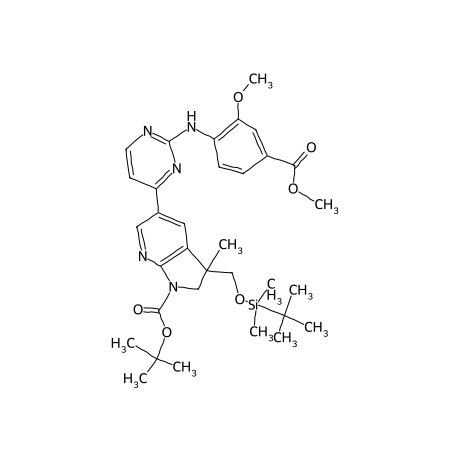 COC(=O)c1ccc(Nc2nccc(-c3cnc4c(c3)C(C)(CO[Si](C)(C)C(C)(C)C)CN4C(=O)OC(C)(C)C)n2)c(OC)c1